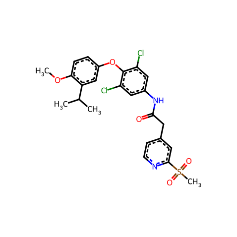 COc1ccc(Oc2c(Cl)cc(NC(=O)Cc3ccnc(S(C)(=O)=O)c3)cc2Cl)cc1C(C)C